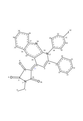 CCN1C(=O)C(=O)/C(=C2/C=C(c3ccccc3)N(c3ccc(I)cc3)c3nc4ccccc4cc32)C1=O